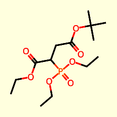 CCOC(=O)C(CC(=O)OC(C)(C)C)P(=O)(OCC)OCC